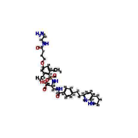 Cc1cc(OCCCC(=O)NCCN)cc(C)c1S(=O)(=O)NC(CNC(=O)c1ccc(CCc2ccc3c(n2)NCCC3)cc1)C(=O)O